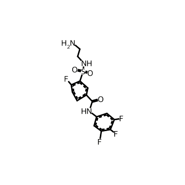 NCCNS(=O)(=O)c1cc(C(=O)Nc2cc(F)c(F)c(F)c2)ccc1F